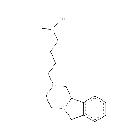 CN(C)CCCCN1CCN2Cc3ccccc3C2C1